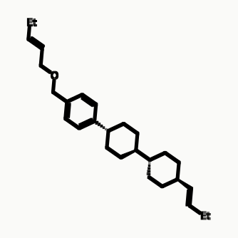 CCC=CCOCc1ccc([C@H]2CC[C@H]([C@H]3CC[C@H](C=CCC)CC3)CC2)cc1